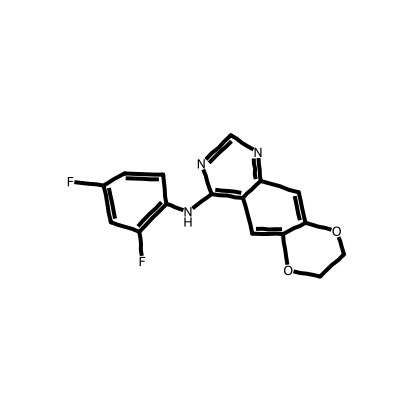 Fc1ccc(Nc2ncnc3cc4c(cc23)OCCO4)c(F)c1